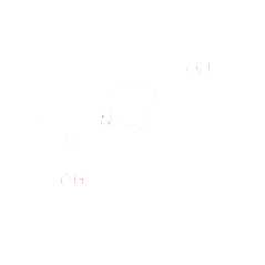 CB(O)N1CC(O)C1